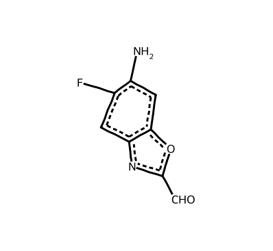 Nc1cc2oc(C=O)nc2cc1F